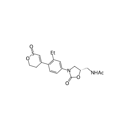 CCc1cc(N2C[C@H](CNC(C)=O)OC2=O)ccc1C1=CS(=O)OCC1